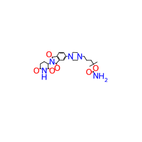 CC(C)(CCCN1CCN(c2ccc3c(c2)C(=O)N(C2CCC(=O)NC2=O)C3=O)CC1)OC(N)=O